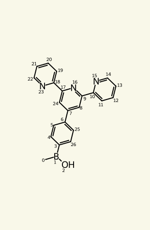 CB(O)c1ccc(-c2cc(-c3ccccn3)nc(-c3ccccn3)c2)cc1